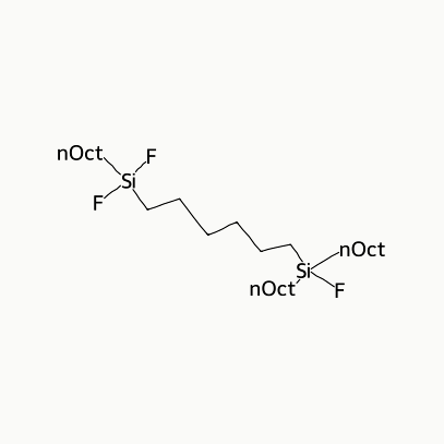 CCCCCCCC[Si](F)(F)CCCCCC[Si](F)(CCCCCCCC)CCCCCCCC